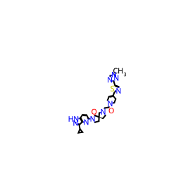 Cn1cnc(-c2cnc(C3=CCN(C(=O)CN4CC[C@]5(CCN(c6ccc7[nH]nc(C8CC8)c7n6)C5=O)C4)CC3)s2)n1